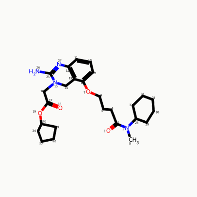 CN(C(=O)CCCOc1cccc2c1CN(CC(=O)OC1CCCC1)C(N)=N2)C1CCCCC1